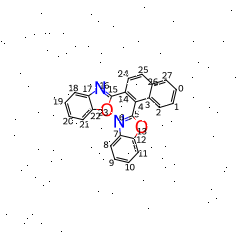 c1ccc2c(-c3nc4ccccc4o3)c(-c3nc4ccccc4o3)ccc2c1